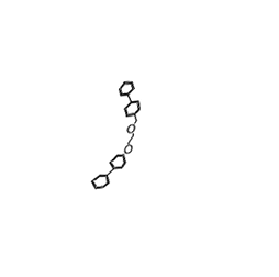 c1ccc(-c2ccc(COCCOc3ccc(-c4ccccc4)cc3)cc2)cc1